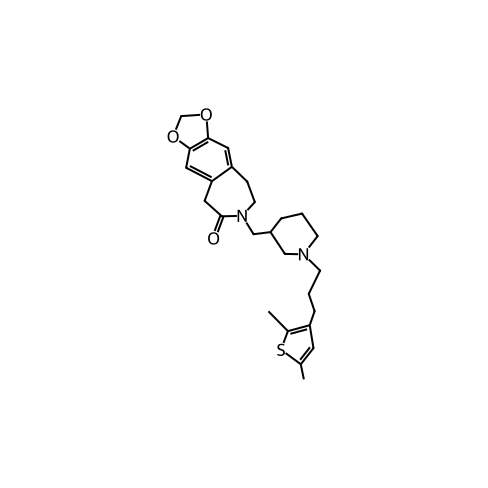 Cc1cc(CCCN2CCCC(CN3CCc4cc5c(cc4CC3=O)OCO5)C2)c(C)s1